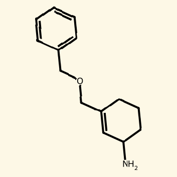 NC1C=C(COCc2ccccc2)CCC1